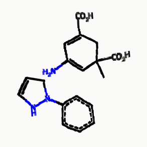 C1=CNN(c2ccccc2)C1.CC1(C(=O)O)C=C(N)C=C(C(=O)O)C1